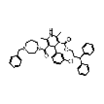 CC1=C(C(=O)OCCC(c2ccccc2)c2ccccc2)C(c2cccc(Cl)c2)C(C(=O)N2CCCN(Cc3ccccc3)CC2)=C(C)N1